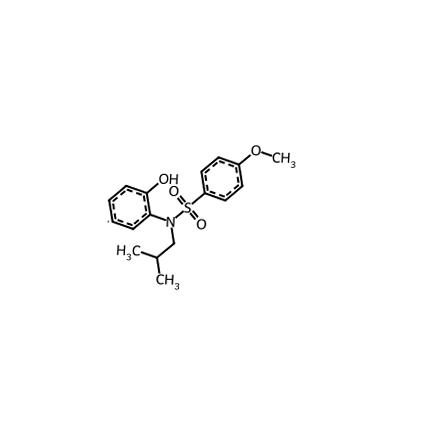 COc1ccc(S(=O)(=O)N(CC(C)C)c2c[c]ccc2O)cc1